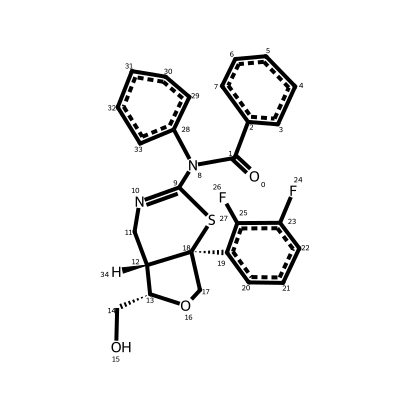 O=C(c1ccccc1)N(C1=NC[C@H]2[C@@H](CO)OC[C@]2(c2cccc(F)c2F)S1)c1ccccc1